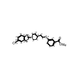 COC(=O)c1cccc(SCCC2CCN(c3nc4ccc(Cl)cc4s3)CC2)c1